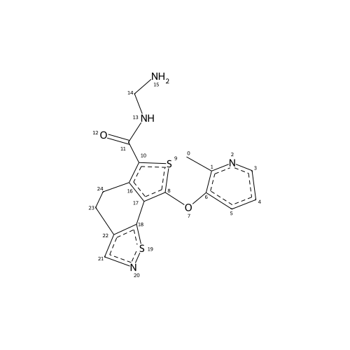 Cc1ncccc1Oc1sc(C(=O)NCN)c2c1-c1sncc1CC2